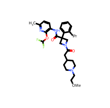 COCCN1CCC(CC(=O)N2CC(C(=O)Nc3ccc(C)nc3OC(F)F)(c3ccccc3C(C)C)C2)CC1